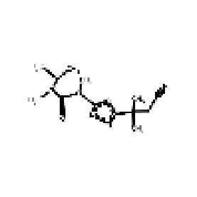 CC(C)N(C)C(=O)N(C)c1nnc(C(C)(C)CC#N)s1